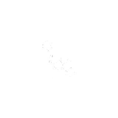 CCc1nc(NNCc2ccccc2)nc(=O)n1-c1ccccc1Cl